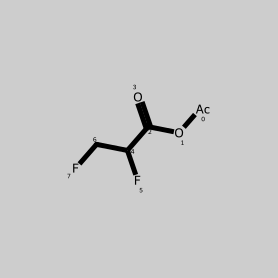 CC(=O)OC(=O)C(F)CF